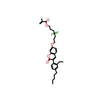 C=C(C)C(=O)OCCCC(F)(F)CCCOc1ccc2cc(-c3ccc(CCCCC)cc3CC)c(=O)oc2c1